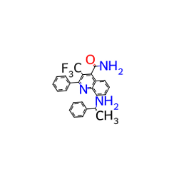 C[C@H](N)c1ccccc1.NC(=O)c1c(C(F)(F)F)c(-c2ccccc2)nc2ccccc12